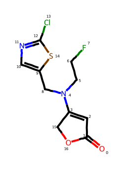 O=C1C=C(N(CCF)Cc2cnc(Cl)s2)CO1